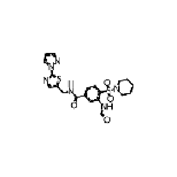 O=CNc1cc(C(=O)NCc2cnc(-n3cccn3)s2)ccc1S(=O)(=O)N1CCCCC1